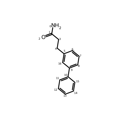 NC(=O)CCc1[c]ccc(-c2ccccc2)c1